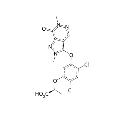 C[C@H](Oc1cc(Oc2c3cnn(C)c(=O)c3nn2C)c(Cl)cc1Cl)C(=O)O